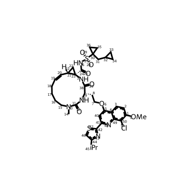 COc1ccc2c(OCC[C@@H]3NC(=O)N(C)CCCC/C=C\[C@@H]4C[C@@]4(C(=O)NS(=O)(=O)C4(CC5CC5)CC4)NC3=O)cc(-c3nc(C(C)C)cs3)nc2c1Cl